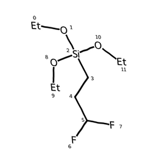 CCO[Si](CCC(F)F)(OCC)OCC